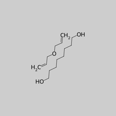 C=CCOCC=C.OCCCCCCCCO